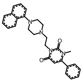 Cn1c(-c2ccccc2)cc(=O)n(CCN2CCN(c3cccc4ccccc34)CC2)c1=O